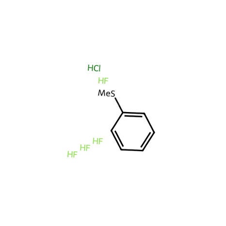 CSc1ccccc1.Cl.F.F.F.F